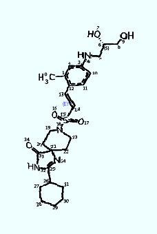 Cc1cc(NC[C@H](O)CO)ccc1/C=C/S(=O)(=O)N1CCC2(CC1)N=C(C1CCCCC1)NC2=O